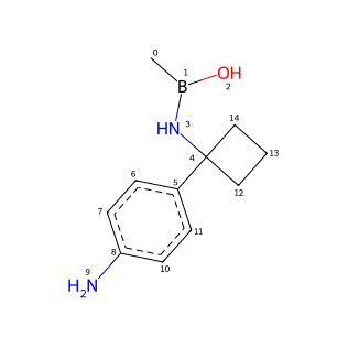 CB(O)NC1(c2ccc(N)cc2)CCC1